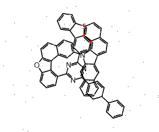 C1=CC(c2ccccc2)CC=C1c1nc(-c2ccc3sc4ccccc4c3c2)nc(-c2cccc3oc4ccc5ccc(-n6c7cc8ccccc8cc7c7ccc8ccccc8c76)cc5c4c23)n1